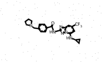 O=C(Nc1nc2cc(C(F)(F)F)cc(NC3CC3)n2n1)c1ccc(CN2CCCC2)cc1